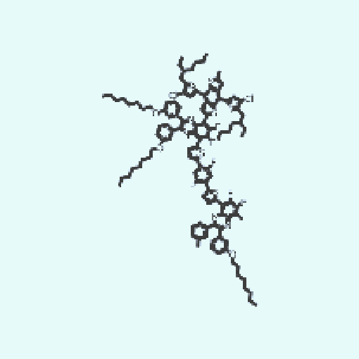 CCCCCCCCOc1cccc(-c2nc3c(C)c(F)c(F)c(-c4ccc(-c5cc(F)c(-c6ccc(-c7c(F)c(F)c(-c8cc9c(-c%10cc(Cl)c(CC(CC)CCCC)s%10)c%10sc(C)cc%10c(-c%10cc(Cl)c(CC(CC)CCCC)s%10)c9s8)c8nc(-c9cccc(OCCCCCCCC)c9)c(-c9cccc(OCCCCCCCC)c9)nc78)s6)cc5F)s4)c3nc2-c2cccc(C)c2)c1